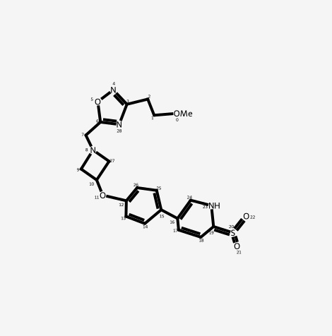 COCCc1noc(CN2CC(Oc3ccc(-c4ccc(=S(=O)=O)[nH]c4)cc3)C2)n1